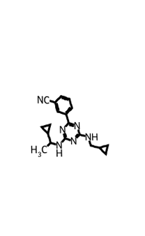 CC(Nc1nc(NCC2CC2)nc(-c2cccc(C#N)c2)n1)C1CC1